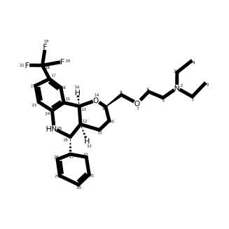 CCN(CC)CCOC[C@H]1CC[C@@H]2[C@H](O1)c1cc(C(F)(F)F)ccc1N[C@H]2C1C=CC=CC1